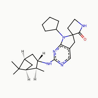 C[C@@H]1[C@@H](Nc2ncc3c(n2)N(C2CCCC2)C2(CCNC2=O)C3)C[C@H]2C[C@@H]1C2(C)C